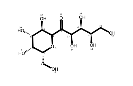 O=C(C1O[C@H](CO)[C@H](O)[C@H](O)[C@H]1O)[C@H](O)[C@@H](O)[C@H](O)CO